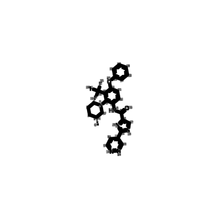 C[C@@H]1CCCN(c2c(NC(=O)c3csc(-c4ccnnc4)n3)ccc(Oc3ccccc3)c2C(F)(F)F)C1